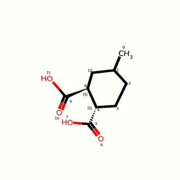 CC1CC[C@H](C(=O)O)[C@@H](C(=O)O)C1